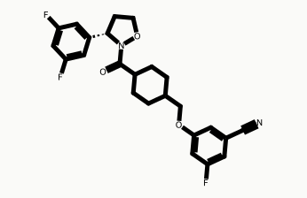 N#Cc1cc(F)cc(OCC2CCC(C(=O)N3OCC[C@H]3c3cc(F)cc(F)c3)CC2)c1